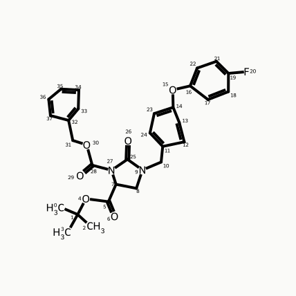 CC(C)(C)OC(=O)C1CN(Cc2ccc(Oc3ccc(F)cc3)cc2)C(=O)N1C(=O)OCc1ccccc1